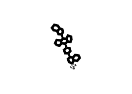 C[Si](C)(C)c1ccc(-c2ccc(-c3c4ccccc4c(-c4ccc5ccccc5c4)c4ccccc34)cc2)c2ccccc12